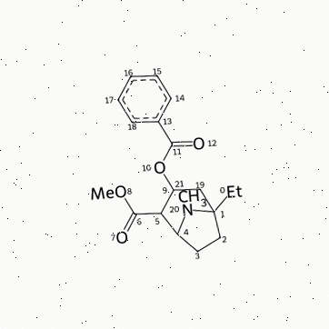 CCC12CCC(C(C(=O)OC)C(OC(=O)c3ccccc3)C1)N2C